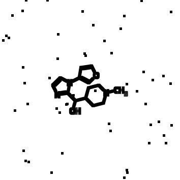 CN1CCC(C(O)c2nccn2-c2ccoc2)CC1